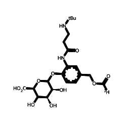 [2H]C(=O)OCc1ccc(OC2OC(C(=O)O)C(O)[C@H](O)[C@@H]2O)c(NC(=O)CCNC(C)(C)C)c1